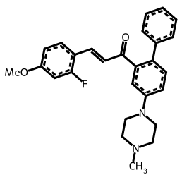 COc1ccc(C=CC(=O)c2cc(N3CCN(C)CC3)ccc2-c2ccccc2)c(F)c1